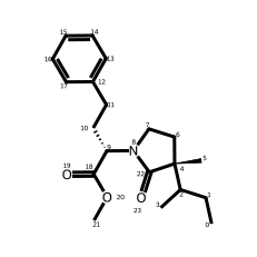 CCC(C)[C@@]1(C)CCN([C@@H](CCc2ccccc2)C(=O)OC)C1=O